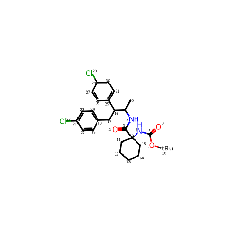 CC(NC(=O)C1(NC(=O)OC(C)(C)C)CCCCC1)C(Cc1ccc(Cl)cc1)c1ccc(Cl)cc1